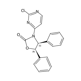 O=C1O[C@H](c2ccccc2)[C@H](c2ccccc2)N1c1ccnc(Cl)n1